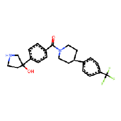 O=C(c1ccc(C2(O)CCNC2)cc1)N1CCC(c2ccc(C(F)(F)F)cc2)CC1